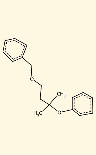 CC(C)(CCOCc1ccccc1)Oc1ccccc1